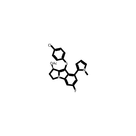 CC(=O)O[C@@H]1CCn2c1c(Sc1ccc(Cl)cc1)c1c(-c3cccn3C)cc(F)cc12